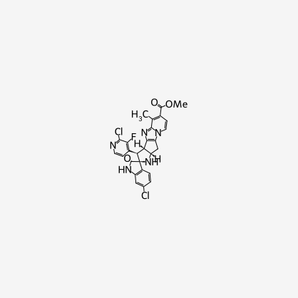 COC(=O)c1ccn2c3c(nc2c1C)[C@@H]1[C@H](C3)N[C@@]2(C(=O)Nc3cc(Cl)ccc32)[C@H]1c1ccnc(Cl)c1F